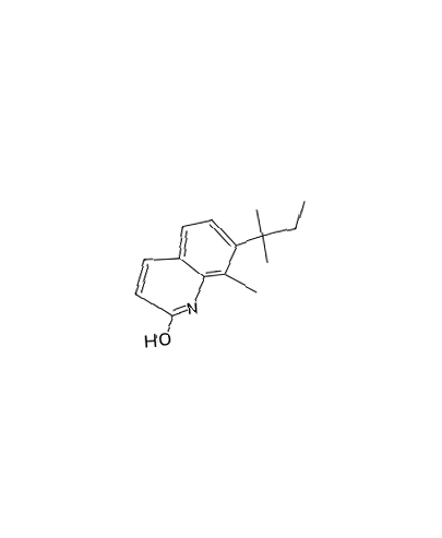 CCC(C)(C)c1ccc2ccc(O)nc2c1C